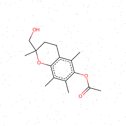 CC(=O)Oc1c(C)c(C)c2c(c1C)CCC(C)(CO)O2